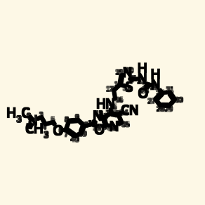 CN(C)CCCOc1ccc(-c2nc3c(NCCc4cnc(NC(=O)Nc5ccccc5)s4)c(C#N)cnc3o2)cc1